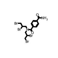 NC(=O)c1ccc(C(=O)N(CC(Br)CBr)CC(Br)CBr)cc1